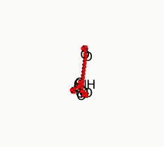 O=C(CCCCCCCCCCCCCCC(=O)OCc1ccccc1)N[C@@H](CCC(=O)ON1C(=O)CCC1=O)C(=O)OCc1ccccc1